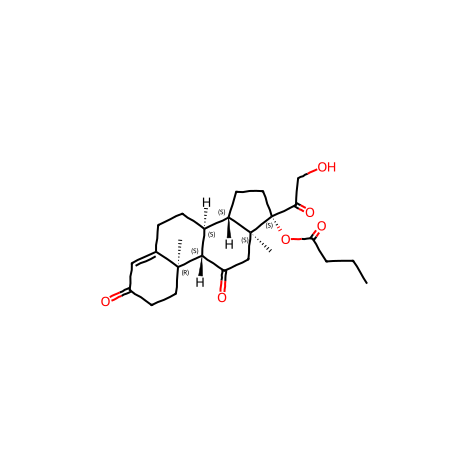 CCCC(=O)O[C@@]1(C(=O)CO)CC[C@H]2[C@@H]3CCC4=CC(=O)CC[C@]4(C)[C@H]3C(=O)C[C@@]21C